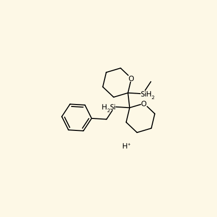 C[SiH2]C1(C2([SiH2]Cc3ccccc3)CCCCO2)CCCCO1.[H+]